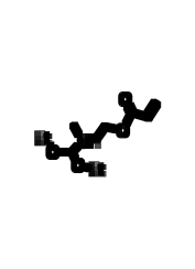 C=CC(=O)OCC[SiH](C)C(OCC)OCC